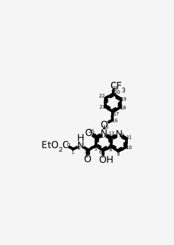 CCOC(=O)CNC(=O)c1c(O)c2cccnc2n(OCc2ccc(C(F)(F)F)cc2)c1=O